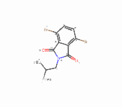 CCCCCCC(CCCC)CN1C(=O)c2c(Br)ccc(Br)c2C1=O